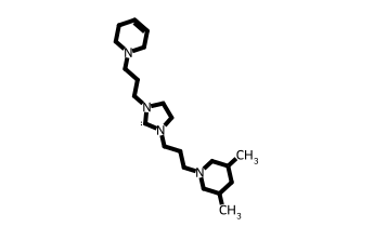 CC1CC(C)CN(CCCN2[C]N(CCCN3CC=CCC3)CC2)C1